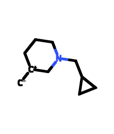 [CH2-][C+]1CCCN(CC2CC2)C1